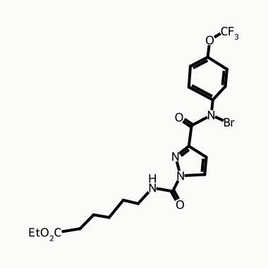 CCOC(=O)CCCCCNC(=O)n1ccc(C(=O)N(Br)c2ccc(OC(F)(F)F)cc2)n1